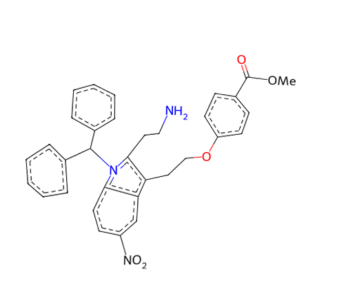 COC(=O)c1ccc(OCCc2c(CCN)n(C(c3ccccc3)c3ccccc3)c3ccc([N+](=O)[O-])cc23)cc1